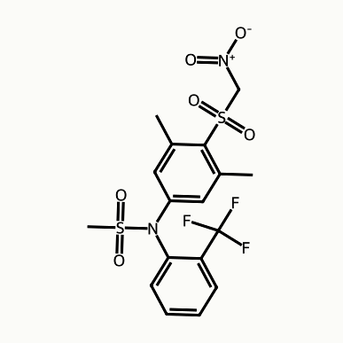 Cc1cc(N(c2ccccc2C(F)(F)F)S(C)(=O)=O)cc(C)c1S(=O)(=O)C[N+](=O)[O-]